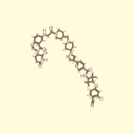 CC1(C)C(NC(=O)c2ccc(-c3cnn(C4CCN(CC5CCN(C(=O)CNc6ccc7nnn(C8CCC(=O)NC8=O)c(=O)c7c6)CC5)CC4)c3)nc2)C(C)(C)C1Oc1ccc(C#N)c(Cl)c1